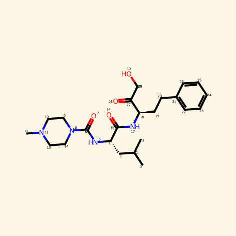 CC(C)C[C@H](NC(=O)N1CCN(C)CC1)C(=O)N[C@H](CCc1ccccc1)C(=O)CO